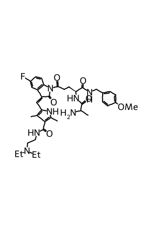 CCN(CC)CCNC(=O)c1c(C)[nH]c(/C=C2\C(=O)N(C(=O)CC[C@H](NC(=O)C(C)N)C(=O)NCc3ccc(OC)cc3)c3ccc(F)cc32)c1C